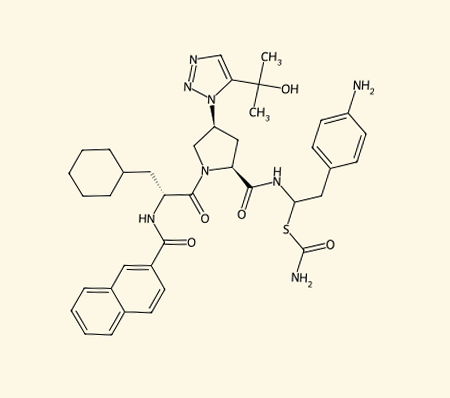 CC(C)(O)c1cnnn1[C@H]1C[C@@H](C(=O)NC(Cc2ccc(N)cc2)SC(N)=O)N(C(=O)[C@@H](CC2CCCCC2)NC(=O)c2ccc3ccccc3c2)C1